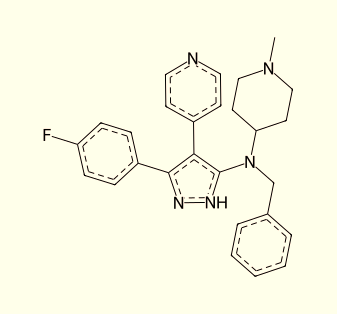 CN1CCC(N(Cc2ccccc2)c2[nH]nc(-c3ccc(F)cc3)c2-c2ccncc2)CC1